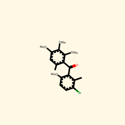 COc1cc(C)c(C(=O)c2c(OC)ccc(Br)c2C)c(OC)c1OC